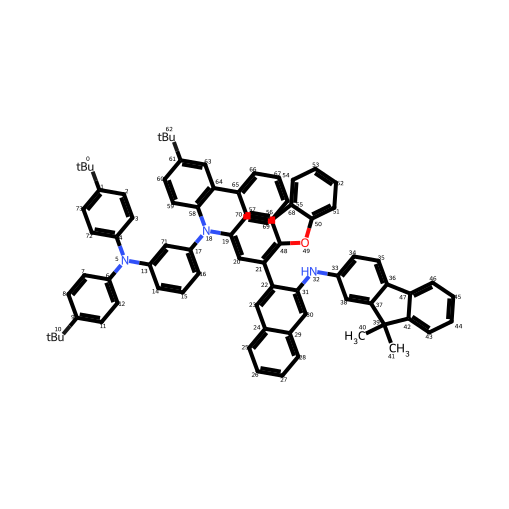 CC(C)(C)c1ccc(N(c2ccc(C(C)(C)C)cc2)c2cccc(N(c3cc(-c4cc5ccccc5cc4Nc4ccc5c(c4)C(C)(C)c4ccccc4-5)c4oc5ccccc5c4c3)c3ccc(C(C)(C)C)cc3-c3ccccc3)c2)cc1